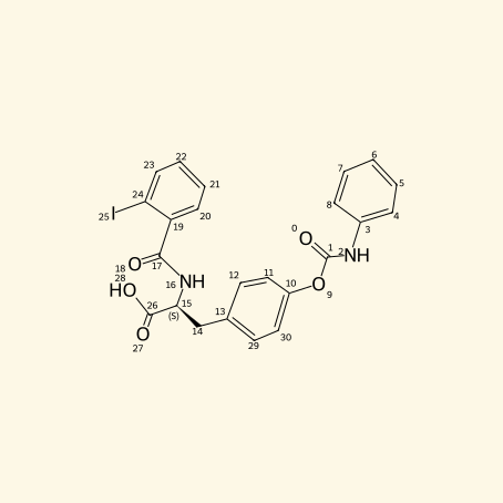 O=C(Nc1ccccc1)Oc1ccc(C[C@H](NC(=O)c2ccccc2I)C(=O)O)cc1